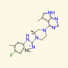 Cc1cc(N/C(=N\C#N)N2CCN(c3ncnc4[nH]cc(C)c34)C[C@@H]2C)ccc1F